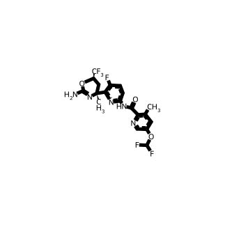 Cc1cc(OC(F)F)cnc1C(=O)Nc1ccc(F)c([C@]2(C)C[C@@H](C(F)(F)F)OC(N)=N2)n1